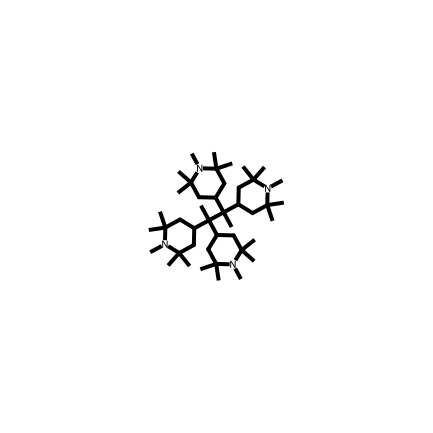 CN1C(C)(C)CC(C(C)(C2CC(C)(C)N(C)C(C)(C)C2)C(C)(C2CC(C)(C)N(C)C(C)(C)C2)C2CC(C)(C)N(C)C(C)(C)C2)CC1(C)C